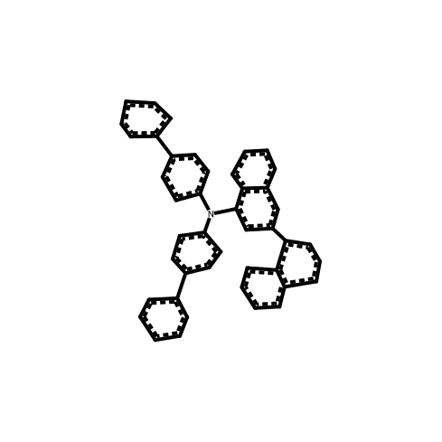 c1ccc(-c2ccc(N(c3ccc(-c4ccccc4)cc3)c3cc(-c4cccc5ccccc45)cc4ccccc34)cc2)cc1